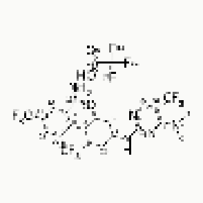 CN(C)c1nc(NC2CCC(c3c(C(N)=O)cc(C(F)(F)F)cc3C(F)(F)F)CC2)ncc1C(F)(F)F.O=C(O)C(F)(F)F